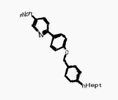 CCCCCCCCCc1ccc(-c2ccc(OCC3CCC(CCCCCCC)CC3)cc2)nc1